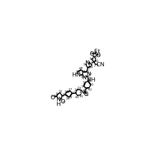 CCS(=O)(=O)N1CC(CC#N)(n2cc(-c3nc(Nc4ccc(C(=O)N5CCC(c6ccc(C7CCC(=O)NC7=O)cc6)CC5)cc4)nc4[nH]ccc34)cn2)C1